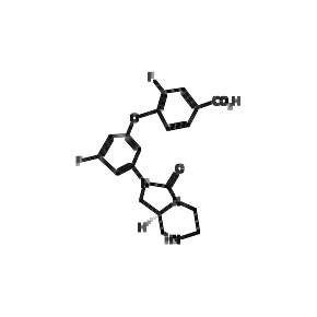 O=C(O)c1ccc(Oc2cc(F)cc(N3C[C@@H]4CNCCN4C3=O)c2)c(F)c1